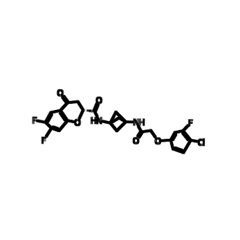 O=C(COc1ccc(Cl)c(F)c1)NC12CC(NC(=O)[C@H]3CC(=O)c4cc(F)c(F)cc4O3)(C1)C2